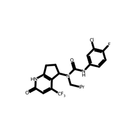 CC(C)CN(C(=O)Nc1ccc(F)c(Cl)c1)C1CCc2[nH]c(=O)cc(C(F)(F)F)c21